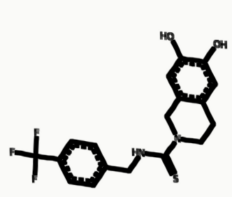 Oc1cc2c(cc1O)CN(C(=S)NCc1ccc(C(F)(F)F)cc1)CC2